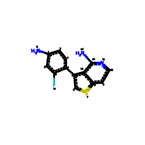 Nc1ccc(-c2csc3ccnc(N)c23)c(F)c1